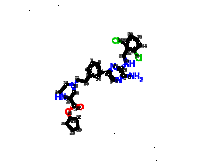 Nc1ncc(-c2cccc(CCN3CCNC(C(=O)OC4CCCC4)C3)c2)nc1NCc1c(Cl)cccc1Cl